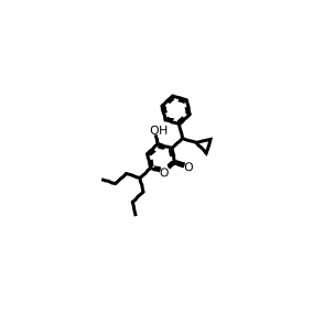 CCCC(CCC)c1cc(O)c(C(c2ccccc2)C2CC2)c(=O)o1